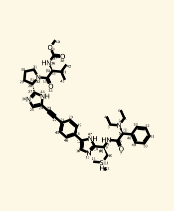 CCN(CC)[C@H](C(=O)N[C@@H](C[SiH](C)C)c1ncc(-c2ccc(C#Cc3cnc([C@@H]4CCCN4C(=O)[C@@H](NC(=O)OC)C(C)C)[nH]3)cc2)[nH]1)c1ccccc1